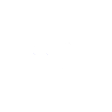 CCCOc1ccccc1-c1nc2c(C(C)CCCc3ccccc3)cccc2c(=O)[nH]1